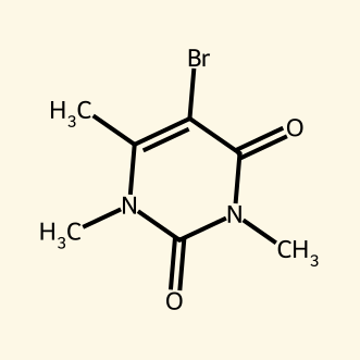 Cc1c(Br)c(=O)n(C)c(=O)n1C